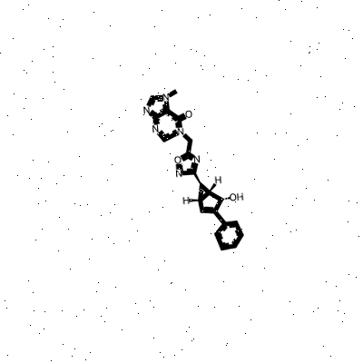 Cn1cnc2ncn(Cc3nc([C@@H]4[C@H]5C=C(c6ccccc6)[C@@H](O)[C@H]54)no3)c(=O)c21